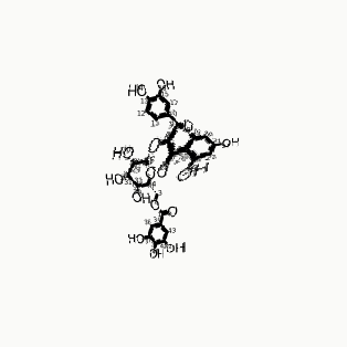 O=C(OC[C@H]1O[C@@H](Oc2c(-c3ccc(O)c(O)c3)oc3cc(O)cc(O)c3c2=O)[C@H](O)[C@@H](O)[C@@H]1O)c1cc(O)c(O)c(O)c1